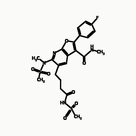 CNC(=O)c1c(-c2ccc(F)cc2)oc2nc(N(C)S(C)(=O)=O)c(CCCC(=O)NS(C)(=O)=O)cc12